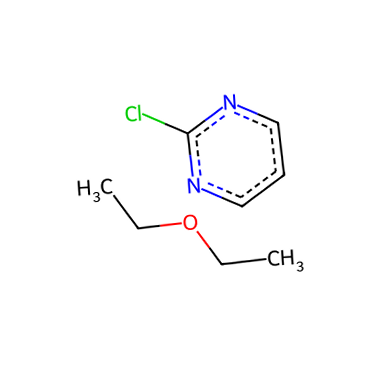 CCOCC.Clc1ncccn1